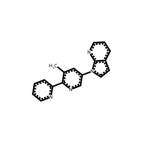 Cc1cc(-n2ccc3cccnc32)cnc1-c1ccccn1